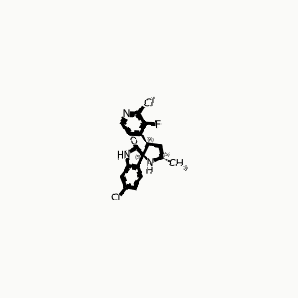 C[C@H]1C[C@H](c2ccnc(Cl)c2F)[C@@]2(N1)C(=O)Nc1cc(Cl)ccc12